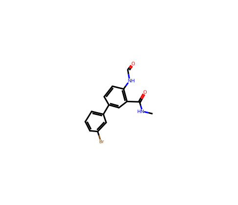 CNC(=O)c1cc(-c2cccc(Br)c2)ccc1NC=O